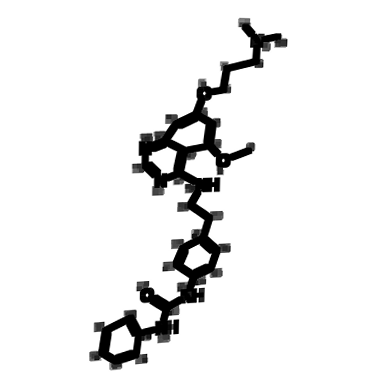 COc1cc(OCCCN(C)C)cc2ncnc(NCCc3ccc(NC(=O)Nc4ccccc4)cc3)c12